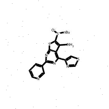 CCCC[S+]([O-])c1sc2nc(-c3cccnc3)nc(-c3cscn3)c2c1N